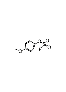 COc1ccc(OS(=O)(=O)F)cc1